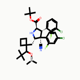 C[SiH](C)OC(C(C)(C)C)C1(C[C@@H]2N[C@@H](C(=O)OC(C)(C)C)[C@H](c3cccc(Cl)c3F)[C@@]2(C#N)c2ccc(Cl)cc2F)CCC1